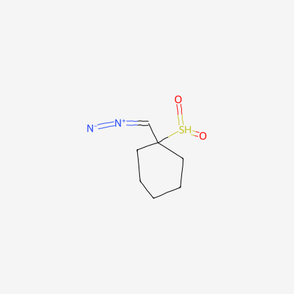 [N-]=[N+]=CC1([SH](=O)=O)CCCCC1